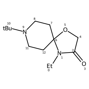 CCN1C(=O)COC12CCN(C(C)(C)C)CC2